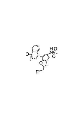 Cn1cc(-c2cc(NS(C)(=O)=O)cc3c2OC(CC2CC2)C3)c2ccccc2c1=O